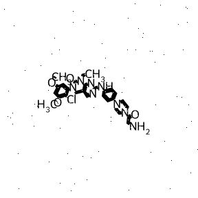 CCN1C(=O)N(c2cc(OC)cc(OC)c2Cl)Cc2cnc(Nc3ccc(N4CCN(C(=O)CN)CC4)cc3)nc21